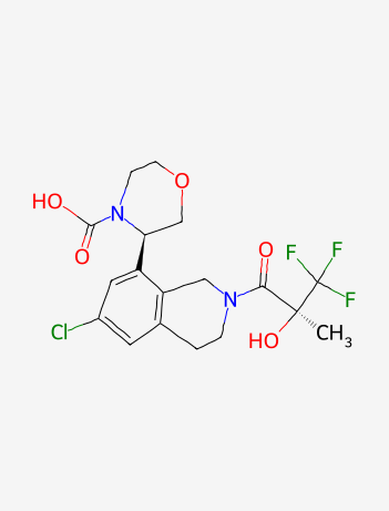 C[C@](O)(C(=O)N1CCc2cc(Cl)cc([C@@H]3COCCN3C(=O)O)c2C1)C(F)(F)F